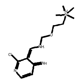 C[SH](C)(C)(C)CCOCN/C=C1\C(=N)C=CN=C1Cl